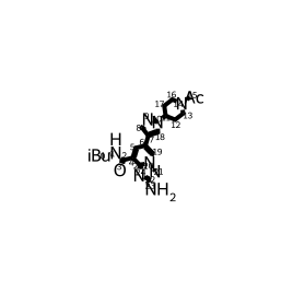 CCC(C)NC(=O)c1cc(-c2cnn(C3CCN(C(C)=O)CC3)c2)cn2nc(N)nc12